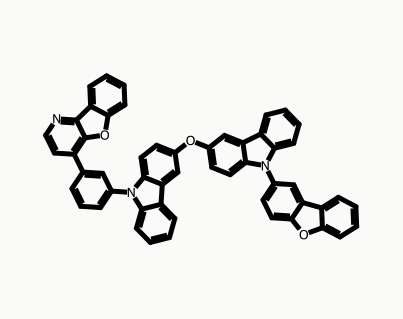 c1cc(-c2ccnc3c2oc2ccccc23)cc(-n2c3ccccc3c3cc(Oc4ccc5c(c4)c4ccccc4n5-c4ccc5oc6ccccc6c5c4)ccc32)c1